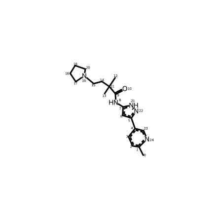 Cc1ccc(-c2cc(NC(=O)C(C)(C)CCN3CCCC3)[nH]n2)cn1